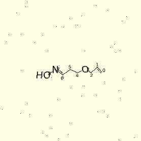 C=CCOCC/C=N/O